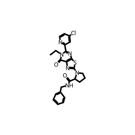 CCn1c(-c2cc(Cl)ccn2)nc2sc(N3CCCC3C(=O)NCc3ccccc3)nc2c1=O